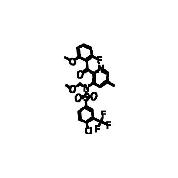 COCN(c1cc(C)cnc1C(=O)c1c(F)cccc1OC)S(=O)(=O)c1ccc(Cl)c(C(F)(F)F)c1